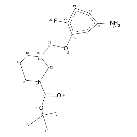 CC(C)(C)OC(=O)N1CCC[C@H](COc2cc(N)ccc2F)C1